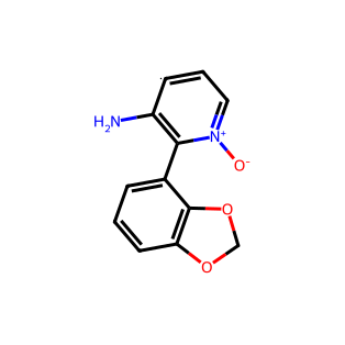 Nc1[c]cc[n+]([O-])c1-c1cccc2c1OCO2